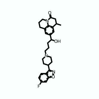 CC1CC(=O)N2CCCc3cc(C(O)CCCN4CCC(c5noc6cc(F)ccc56)CC4)cc1c32